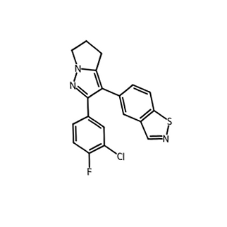 Fc1ccc(-c2nn3c(c2-c2ccc4sncc4c2)CCC3)cc1Cl